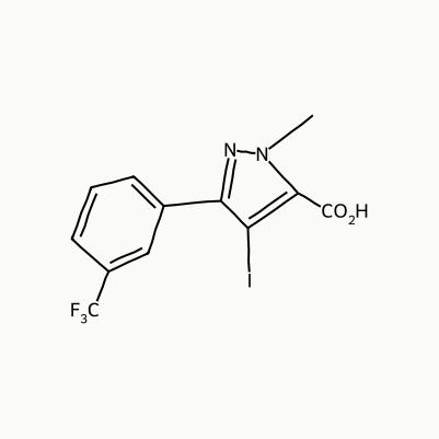 Cn1nc(-c2cccc(C(F)(F)F)c2)c(I)c1C(=O)O